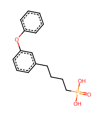 O=P(O)(O)CCCCc1cccc(Oc2ccccc2)c1